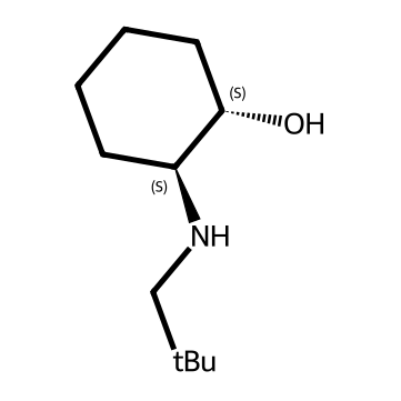 CC(C)(C)CN[C@H]1CCCC[C@@H]1O